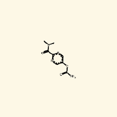 CN(C)C(=O)c1ncc(OC(N)=O)cn1